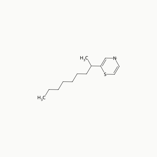 CCCCCCCC(C)C1=C[N]C=CS1